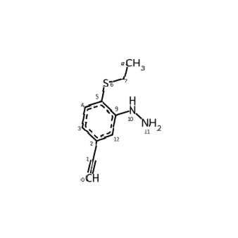 C#Cc1ccc(SCC)c(NN)c1